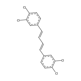 Clc1ccc(C=CC=Cc2ccc(Cl)c(Cl)c2)cc1Cl